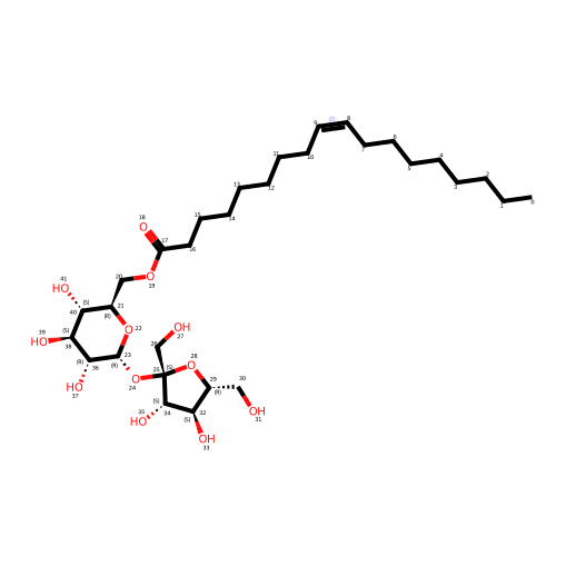 CCCCCCCC/C=C\CCCCCCCC(=O)OC[C@H]1O[C@H](O[C@]2(CO)O[C@H](CO)[C@@H](O)[C@@H]2O)[C@H](O)[C@@H](O)[C@@H]1O